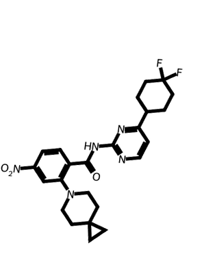 O=C(Nc1nccc(C2CCC(F)(F)CC2)n1)c1ccc([N+](=O)[O-])cc1N1CCC2(CC1)CC2